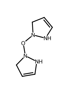 C1=CNN(ON2CC=CN2)C1